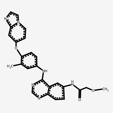 COCC(=O)Nc1ccc2ncnc(Nc3ccc(Oc4ccn5ccnc5c4)c(C)c3)c2c1